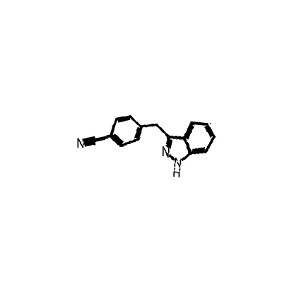 N#Cc1ccc(Cc2n[nH]c3cc[c]cc23)cc1